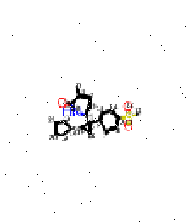 Cc1ccc([C@@]2(c3ccc(S(C)(=O)=O)cc3)C[C@@H]2C2CCCC2)[nH]c1=O